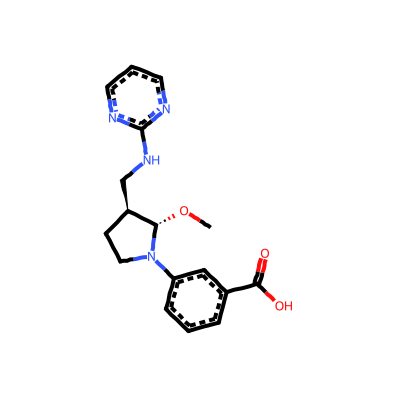 CO[C@H]1[C@H](CNc2ncccn2)CCN1c1cccc(C(=O)O)c1